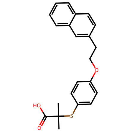 CC(C)(Sc1ccc(OCCc2ccc3ccccc3c2)cc1)C(=O)O